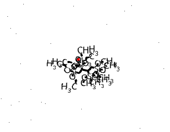 CCO[Si](CC(C(C[Si](OC)(OC)OC)[Si](C)(OC)OC)[Si](OCC)(OCC)OCC)(OCC)OCC